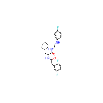 O=C(Cc1cc(F)ccc1F)NC(CC1CCCCC1)C(=O)NCCNc1ccc(F)cc1